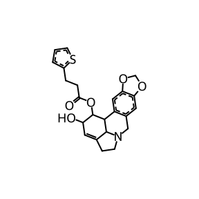 O=C(CCc1cccs1)OC1C(O)C=C2CCN3Cc4cc5c(cc4C1C23)OCO5